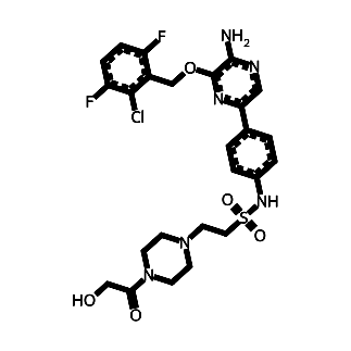 Nc1ncc(-c2ccc(NS(=O)(=O)CCN3CCN(C(=O)CO)CC3)cc2)nc1OCc1c(F)ccc(F)c1Cl